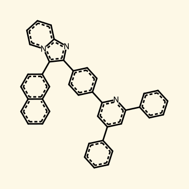 c1ccc(-c2cc(-c3ccccc3)nc(-c3ccc(-c4nc5ccccn5c4-c4ccc5ccccc5c4)cc3)c2)cc1